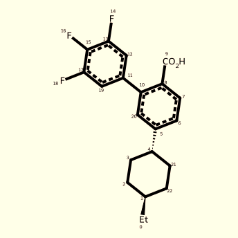 CC[C@H]1CC[C@H](c2ccc(C(=O)O)c(-c3cc(F)c(F)c(F)c3)c2)CC1